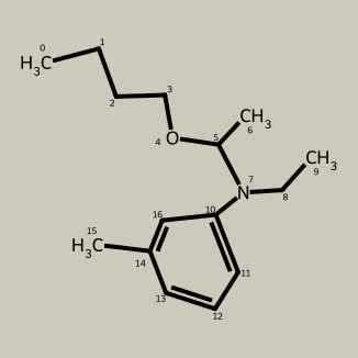 CCCCOC(C)N(CC)c1cccc(C)c1